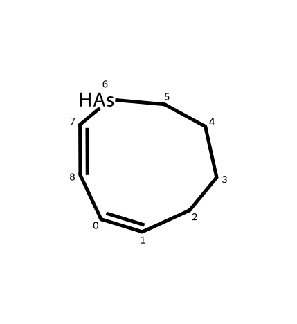 C1=CCCCC[AsH]C=C1